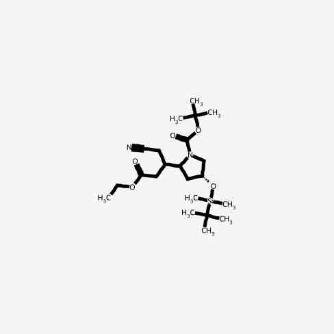 CCOC(=O)CC(CC#N)C1C[C@@H](O[Si](C)(C)C(C)(C)C)CN1C(=O)OC(C)(C)C